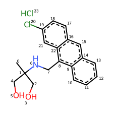 CC(CO)(CO)NCc1c2ccccc2cc2ccc(Cl)cc12.Cl